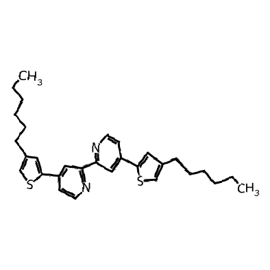 CCCCCCc1csc(-c2ccnc(-c3cc(-c4cc(CCCCCC)cs4)ccn3)c2)c1